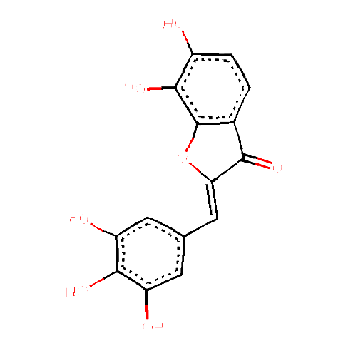 O=C1C(=Cc2cc(O)c(O)c(O)c2)Oc2c1ccc(O)c2O